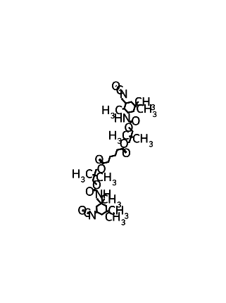 CC1C(CN=C=O)CC(C)(C)CC1NC(=O)OCC(C)(C)COC(=O)CCCCC(=O)OCC(C)(C)COC(=O)NCC1(C)CC(N=C=O)CC(C)(C)C1